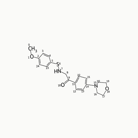 COc1ccc(SNCC(=O)c2ccc(N3CCOCC3)cc2)cc1